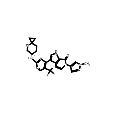 Cn1cc(-n2ccc3c(-c4nc(N[C@H]5CCC6(CC6)NC5)ncc4C(F)(F)F)c[nH]c3c2=O)cn1